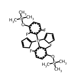 C[Si](C)(C)Oc1ccc(F)[c]([Ti]([C]2=CC=CC2)([C]2=CC=CC2)[c]2c(F)ccc(O[Si](C)(C)C)c2F)c1F